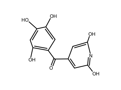 O=C(c1cc(O)nc(O)c1)c1cc(O)c(O)cc1O